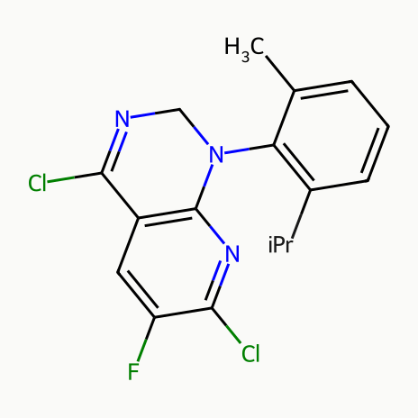 Cc1cccc(C(C)C)c1N1CN=C(Cl)c2cc(F)c(Cl)nc21